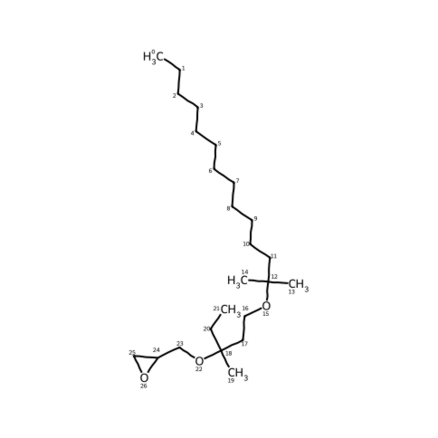 CCCCCCCCCCCCC(C)(C)OCCC(C)(CC)OCC1CO1